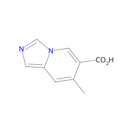 Cc1cc2cncn2cc1C(=O)O